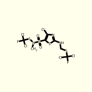 CN(SC(F)(Cl)Cl)S(=O)(=O)c1sc(NCSC(F)(Cl)Cl)nc1Cl